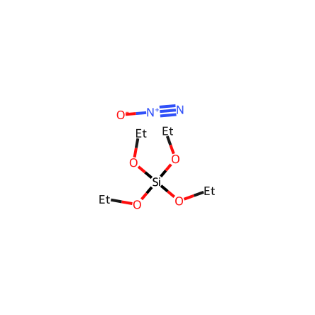 CCO[Si](OCC)(OCC)OCC.N#[N+][O-]